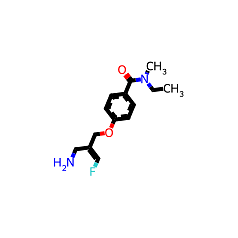 CCN(C)C(=O)c1ccc(OCC(=CF)CN)cc1